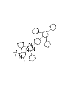 Cc1ccc(-c2ccccc2-c2nc(-c3ccccc3)nc(-c3ccc(-c4c(-c5ccccc5)cc(-c5ccccc5)cc4-c4ccccc4)cc3)n2)c(C(C)(C)C)n1